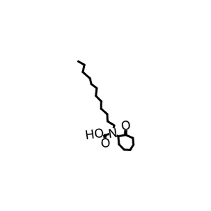 CCCCCCCCCCCCN(C(=O)O)C1CCCCCC1=O